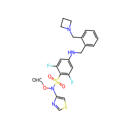 O=CON(c1cscn1)S(=O)(=O)c1c(F)cc(NCc2ccccc2CN2CCC2)cc1F